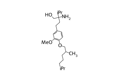 COc1cc(CCC(N)(CO)C(C)C)ccc1OCC(C)CCCC(C)C